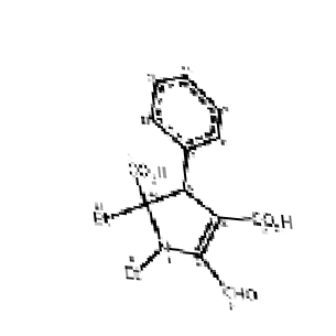 CCN1C(C=O)=C(C(=O)O)C(c2ccccc2)C1(CC)C(=O)O